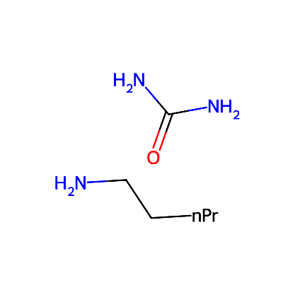 CCCCCN.NC(N)=O